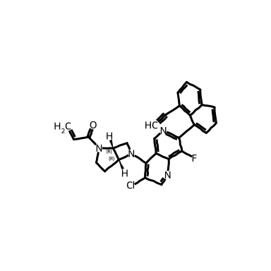 C#Cc1cccc2cccc(-c3ncc4c(N5C[C@@H]6[C@H]5CCN6C(=O)C=C)c(Cl)cnc4c3F)c12